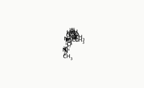 CCCn1cc(-c2ccc(C[C@@H](C#N)NC(=O)[C@@H]3[C@H]4CC[C@H](C4)N3C(=O)OC(C)(C)C)c(F)c2)cn1